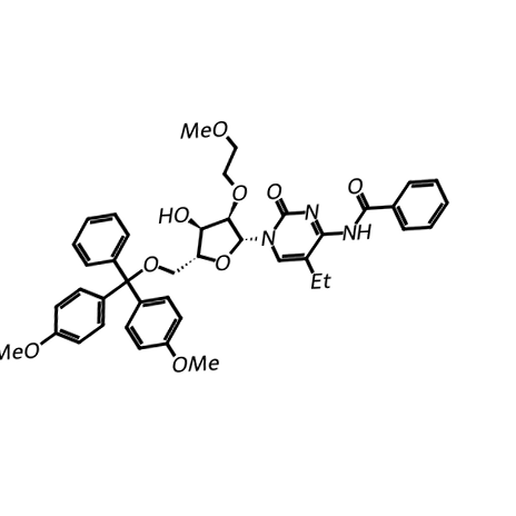 CCc1cn([C@@H]2O[C@H](COC(c3ccccc3)(c3ccc(OC)cc3)c3ccc(OC)cc3)[C@@H](O)[C@H]2OCCOC)c(=O)nc1NC(=O)c1ccccc1